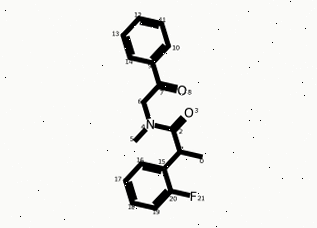 CC(C(=O)N(C)CC(=O)c1ccccc1)c1ccccc1F